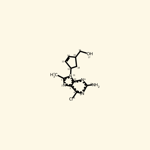 Cc1nc2c(Cl)nc(N)nc2n1C1C=CC(CO)C1